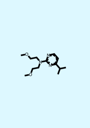 COCCN(CCOC)c1nccc(C(C)C)n1